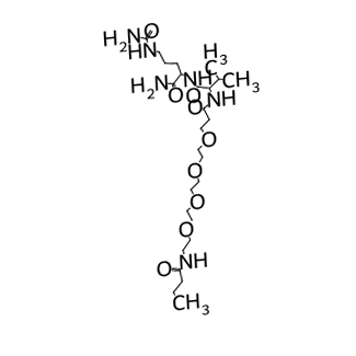 CCCC(=O)NCCOCCOCCOCCOCCC(=O)NC(C(=O)NC(CCCNC(N)=O)C(N)=O)C(C)C